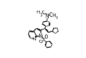 CN(C)c1ccc(/C(=C\C2CCCC2)c2cc3cccnc3n2S(=O)(=O)c2ccccc2)cc1